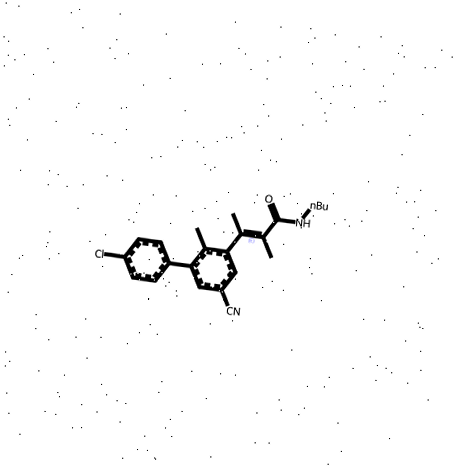 CCCCNC(=O)/C(C)=C(\C)c1cc(C#N)cc(-c2ccc(Cl)cc2)c1C